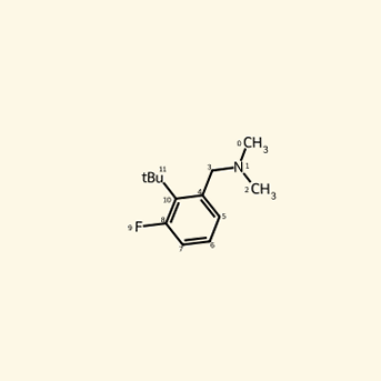 CN(C)Cc1cccc(F)c1C(C)(C)C